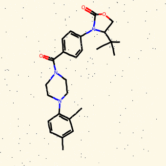 Cc1ccc(N2CCN(C(=O)c3ccc(N4C(=O)OCC4C(C)(C)C)cc3)CC2)c(C)c1